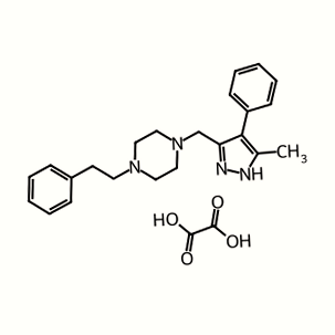 Cc1[nH]nc(CN2CCN(CCc3ccccc3)CC2)c1-c1ccccc1.O=C(O)C(=O)O